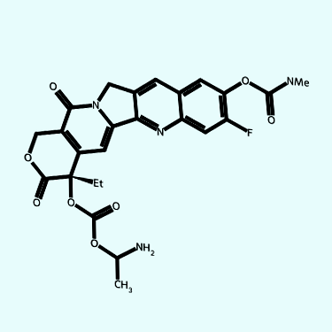 CC[C@@]1(OC(=O)OC(C)N)C(=O)OCc2c1cc1n(c2=O)Cc2cc3cc(OC(=O)NC)c(F)cc3nc2-1